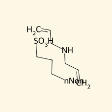 C=CCNCC=C.CCCCCCCCCCCCS(=O)(=O)O